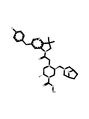 C[C@@H]1CN(CC(=O)N2CC(C)(C)c3ncc(Cc4ccc(F)cc4)cc32)[C@@H](CN2CC3CCC(C2)O3)CN1C(=O)OC(C)(C)C